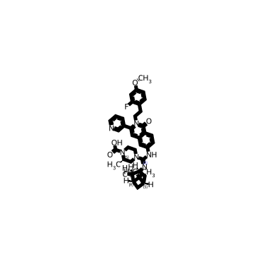 COc1ccc(CCn2c(-c3cccnc3)cc3cc(N/C(=N/[C@H]4C[C@@H]5C[C@H]([C@@H]4C)C5(C)C)N4CCN(C(=O)O)[C@@H](C)C4)ccc3c2=O)c(F)c1